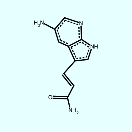 NC(=O)C=Cc1c[nH]c2ncc(N)cc12